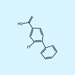 C=C(O)c1ccc(-c2ccccc2)c(Cl)c1